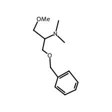 COCC(COCc1ccccc1)N(C)C